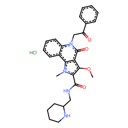 COc1c(C(=O)NCC2CCCCN2)n(C)c2c1c(=O)n(CC(=O)c1ccccc1)c1ccccc21.Cl